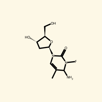 CC1=CN([C@H]2C[C@H](O)[C@@H](CO)O2)C(=O)N(F)C1N